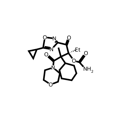 CC[C@@](OC(N)=O)(C(=O)c1noc(C2CC2)n1)C(C)(C(=O)N1CCOCC1)C1CCCCC1